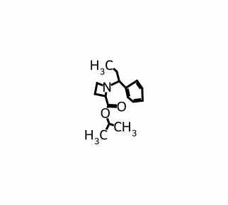 CCC(c1ccccc1)N1CCC1C(=O)OC(C)C